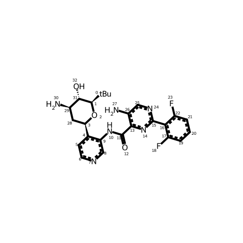 CC(C)(C)[C@H]1O[C@@H](c2ccncc2NC(=O)c2nc(-c3c(F)cccc3F)ncc2N)C[C@@H](N)[C@@H]1O